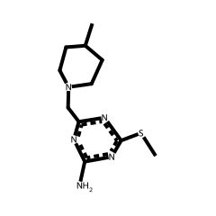 CSc1nc(N)nc(CN2CCC(C)CC2)n1